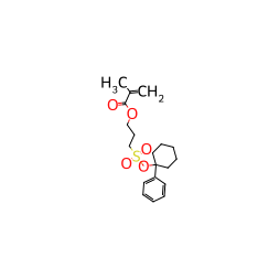 C=C(C)C(=O)OCCCS(=O)(=O)OC1(c2ccccc2)CCCCC1